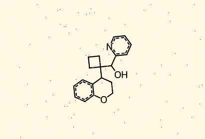 OC(c1ccccn1)C1(C2CCOc3ccccc32)CCC1